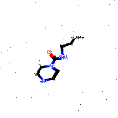 COCCNC(=O)N1CC[N]CC1